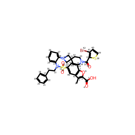 Cc1c(C(=O)O)oc2ccc(S(=O)(=O)N(CCc3ccccc3)c3ccccc3N3CC4(CCN(C(=O)c5sccc5Br)CC4)C3)cc12